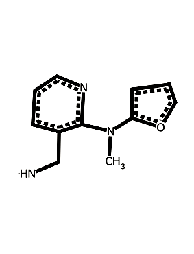 CN(c1ccco1)c1ncccc1C[NH]